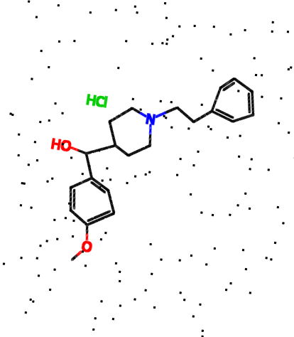 COc1ccc(C(O)C2CCN(CCc3ccccc3)CC2)cc1.Cl